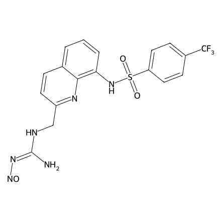 N/C(=N\N=O)NCc1ccc2cccc(NS(=O)(=O)c3ccc(C(F)(F)F)cc3)c2n1